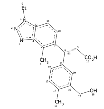 CCn1nnc2c(C)c([C@H](CC(=O)O)c3ccc(C)c(CO)c3)ccc21